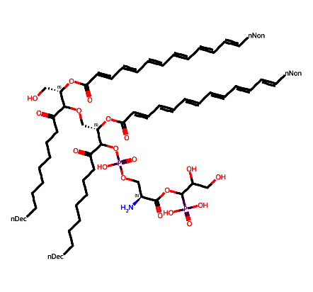 CCCCCCCCCC=CC=CC=CC=CC=CC=CC(=O)O[C@@H](CO)C(OC[C@H](OC(=O)C=CC=CC=CC=CC=CC=CCCCCCCCCC)C(OP(=O)(O)OC[C@H](N)C(=O)OC(C(O)CO)P(=O)(O)O)C(=O)CCCCCCCCCCCCCCCCC)C(=O)CCCCCCCCCCCCCCCCC